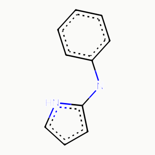 c1ccc([N]c2ccc[nH]2)cc1